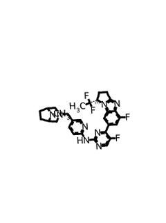 CN1C2CCC1CN(Cc1ccc(Nc3ncc(F)c(-c4cc(F)c5nc6n(c5c4)[C@H](C(C)(F)F)CC6)n3)nc1)C2